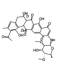 CO[C@@H]1[C@@H](O)[C@@H](OC)[C@@H](NC2=CC(=O)c3c(cc4c(c3O)C(=O)[C@]3(OC)[C@H](O)Cc5cc(C)c(C(C)=O)c(O)c5[C@]3(O)C4=O)C2=O)O[C@H]1C